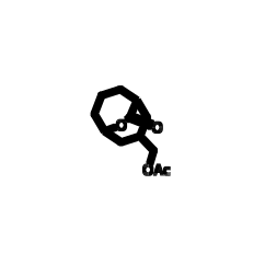 CC(=O)OCC1CC2CCCC(C1)C(=O)O2